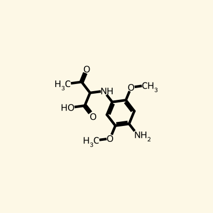 COc1cc(NC(C(C)=O)C(=O)O)c(OC)cc1N